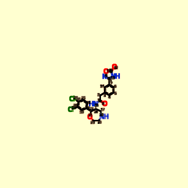 O=C(Cc1cccc(-c2noc(=O)[nH]2)c1)N[C@@H]1CNCCO[C@H]1c1ccc(Cl)c(Cl)c1